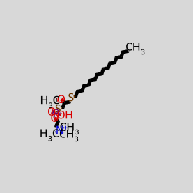 CCCCCCCCCCCCCCCCCCSCC(CSP(=O)(O)OCC[N+](C)(C)C)OC